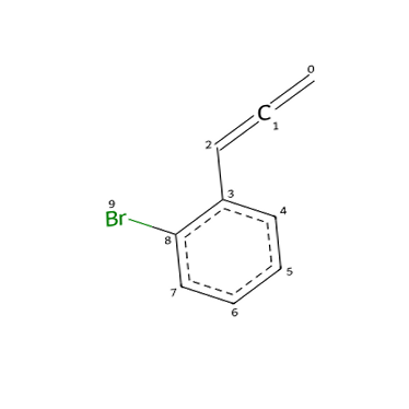 C=C=Cc1ccccc1Br